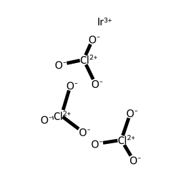 [Ir+3].[O-][Cl+2]([O-])[O-].[O-][Cl+2]([O-])[O-].[O-][Cl+2]([O-])[O-]